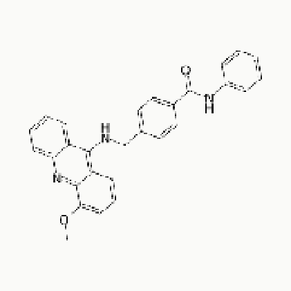 COc1cccc2c(NCc3ccc(C(=O)Nc4ccccc4)cc3)c3ccccc3nc12